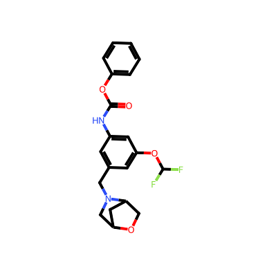 O=C(Nc1cc(CN2CC3CC2CO3)cc(OC(F)F)c1)Oc1ccccc1